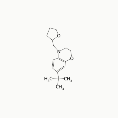 CC(C)(C)c1ccc2c(c1)OCCN2CC1CCCO1